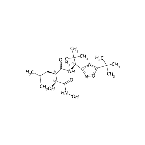 CC(C)C[C@@H](C(=O)N[C@H](c1noc(C(C)(C)C)n1)C(C)(C)C)[C@H](O)C(=O)NO